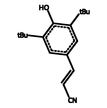 CC(C)(C)c1cc(/C=C/C#N)cc(C(C)(C)C)c1O